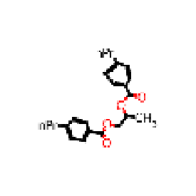 CCCc1ccc(C(=O)OCC(C)OC(=O)c2ccc(CCC)cc2)cc1